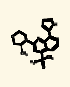 C[C@@H]1COCCN1c1cc(P(C)(C)=O)c2ccnc(-c3ccn[nH]3)c2n1